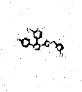 Cc1ccc(CN2CC(n3cnc(-c4ccc(F)cc4)c3-c3ccnc(N)n3)C2)o1